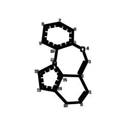 C1=CC2=COc3ccccc3-n3ccc(c32)C1